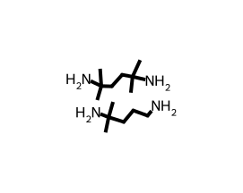 CC(C)(N)CCC(C)(C)N.CC(C)(N)CCCN